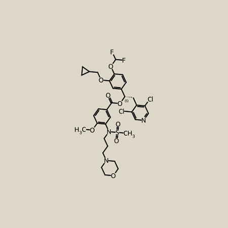 COc1ccc(C(=O)O[C@@H](Cc2c(Cl)cncc2Cl)c2ccc(OC(F)F)c(OCC3CC3)c2)cc1N(CCCN1CCOCC1)S(C)(=O)=O